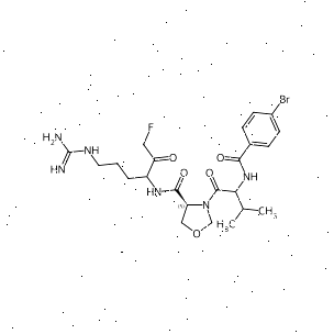 CC(C)C(NC(=O)c1ccc(Br)cc1)C(=O)N1COC[C@H]1C(=O)NC(CCCNC(=N)N)C(=O)CF